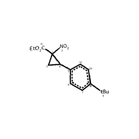 CCOC(=O)C1([N+](=O)[O-])CC1c1ccc(C(C)(C)C)cc1